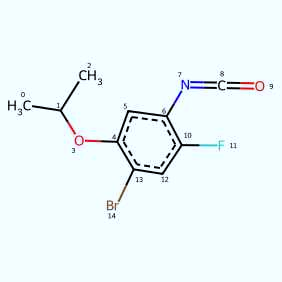 CC(C)Oc1cc(N=C=O)c(F)cc1Br